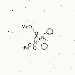 COCCO[C@@H]1CN(C(=O)OC(C)(C)C)C[C@H]1N(Cc1ccccc1)Cc1ccccc1